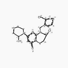 CC1COCCN1c1cc(=O)n2c(n1)N(Cc1ccncc1Cl)C(C(F)(F)F)CC2